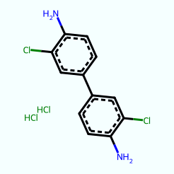 Cl.Cl.Nc1ccc(-c2ccc(N)c(Cl)c2)cc1Cl